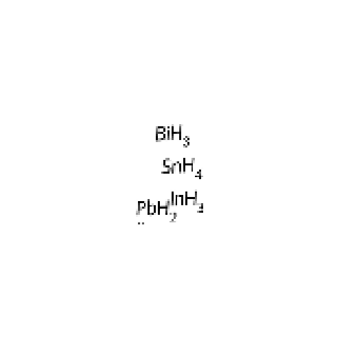 [BiH3].[InH3].[PbH2].[SnH4]